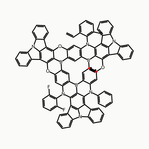 C=Cc1cccc(F)c1N1c2cc3c(cc2B2c4ccccc4Oc4c2c1c1c2ccccc2n2c5ccccc5c4c12)B1c2cc4c(cc2Oc2c1c(c1c5ccccc5n5c6ccccc6c2c15)O3)N(c1c(F)cccc1F)c1c2c(c3c5ccccc5n5c6ccccc6c1c35)N(c1ccccc1)c1ccccc1B42